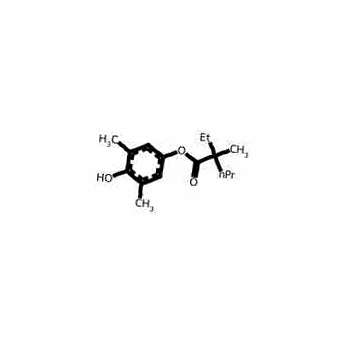 CCCC(C)(CC)C(=O)Oc1cc(C)c(O)c(C)c1